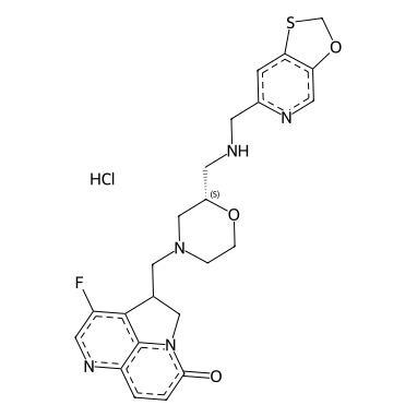 Cl.O=c1ccc2ncc(F)c3c2n1CC3CN1CCO[C@@H](CNCc2cc3c(cn2)OCS3)C1